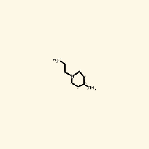 CCCN1CCC(N)CC1